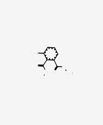 CC(C)(C)c1cccc(C(=O)OO)c1C(=O)OO